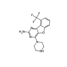 Nc1nc(N2CCNCC2)c2oc3cccc(C(F)(F)F)c3c2n1